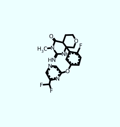 CN1C(=N)NC2(c3cc(Oc4cncc(C(F)F)n4)ccc3F)COCCC2C1=O